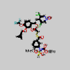 COc1ccc(C(=O)SCC(=O)O[C@@H](Cc2c(Cl)c[n+]([O-])cc2Cl)c2ccc(OC(F)F)c(OCC3CC3)c2)cc1N(C(=O)OC(C)(C)C)S(C)(=O)=O